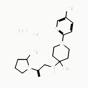 CC1(NCC(=O)N2CCCC2C#N)CCN(c2ccc(C#N)cn2)CC1.Cl.Cl